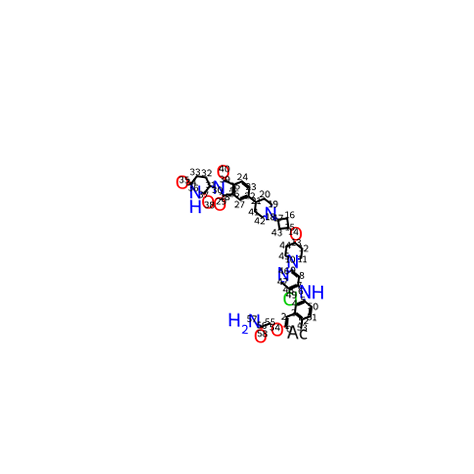 CC(=O)/C(=C\c1cc(Nc2cc(N3CCC(O[C@H]4C[C@H](N5CCC(c6ccc7c(c6)C(=O)N(C6CCC(=O)NC6=O)C7=O)CC5)C4)CC3)ncc2Cl)ccc1C)OCC(N)=O